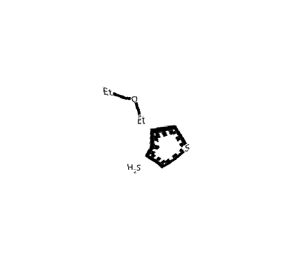 CCOCC.S.c1ccsc1